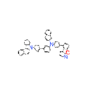 c1cc(-c2ccc(-n3c4ccccc4c4c5ccccc5ccc43)cc2)cc(N(c2ccc(-c3cccc4oc5ncccc5c34)cc2)c2ccc3ccccc3c2)c1